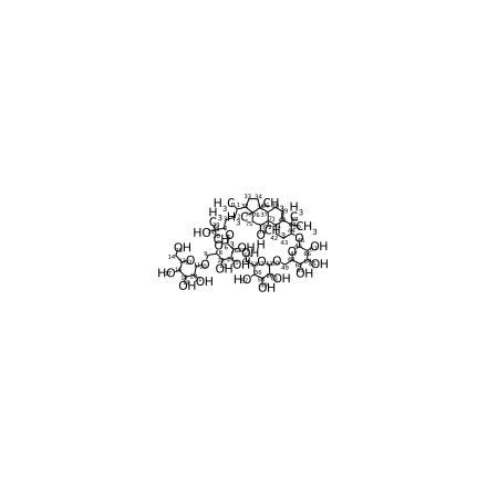 CC(CCC(OC1OC(COC2OC(CO)C(O)C(O)C2O)C(O)C(O)C1O)C(C)(C)O)C1CCC2(C)C3CC=C4C(CCC(OC5OC(COC6OC(CO)C(O)C(O)C6O)C(O)C(O)C5O)C4(C)C)C3(C)C(O)CC12C